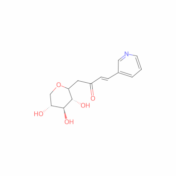 O=C(/C=C/c1cccnc1)CC1OC[C@@H](O)[C@H](O)[C@H]1O